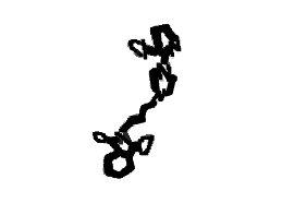 O=C1C2CCCCC2C(=O)N1CCCCN1CCN(c2ncccc2Cl)CC1